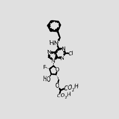 O=C(O)C(OC[C@H]1O[C@@H](n2cnc3c(NCc4ccccc4)nc(Cl)nc32)[C@@H](F)[C@@H]1O)C(=O)O